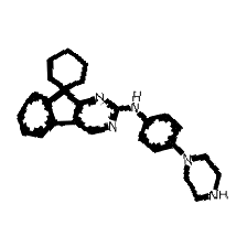 c1ccc2c(c1)-c1cnc(Nc3ccc(N4CCNCC4)cc3)nc1C21CCCCC1